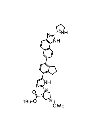 COC[C@H]1C[C@@H](c2ncc(-c3ccc(-c4ccc5c(ccc6nc([C@@H]7CCCN7)[nH]c65)c4)c4c3CCC4)[nH]2)N(C(=O)OC(C)(C)C)C1